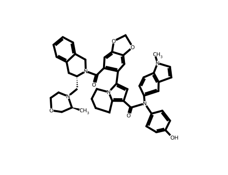 C[C@H]1COCCN1C[C@@H]1Cc2ccccc2CN1C(=O)c1cc2c(cc1-c1cc(C(=O)N(c3ccc(O)cc3)c3ccc4c(ccn4C)c3)c3n1CCCC3)OCO2